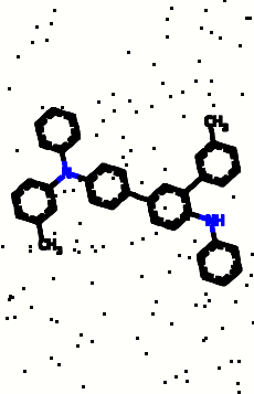 Cc1cccc(-c2cc(-c3ccc(N(c4ccccc4)c4cccc(C)c4)cc3)ccc2Nc2ccccc2)c1